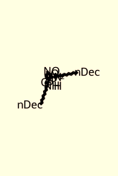 CCCCCCCCCCCCCCCCCCNC(=O)Oc1ccc([N+](=O)[O-])cc1OC(=O)NCCCCCCCCCCCCCCCCCC